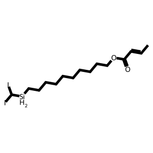 CC=CC(=O)OCCCCCCCCCC[SiH2]C(I)I